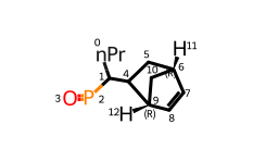 CCCC(P=O)C1C[C@@H]2C=C[C@H]1C2